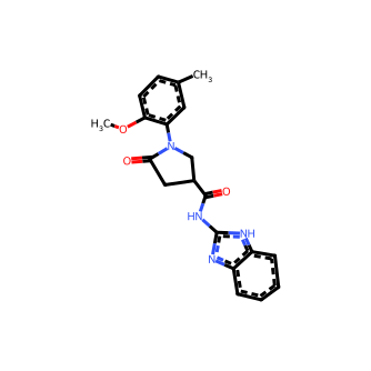 COc1ccc(C)cc1N1CC(C(=O)Nc2nc3ccccc3[nH]2)CC1=O